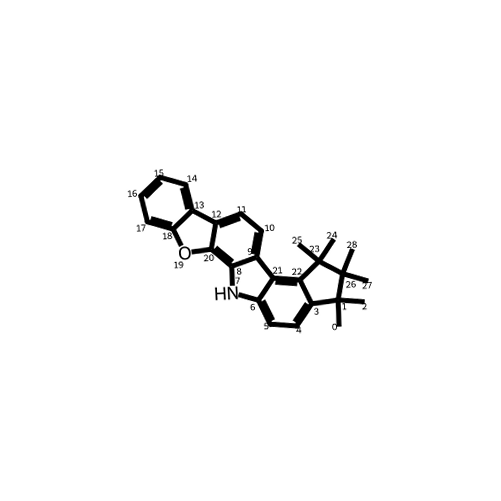 CC1(C)c2ccc3[nH]c4c(ccc5c6ccccc6oc54)c3c2C(C)(C)C1(C)C